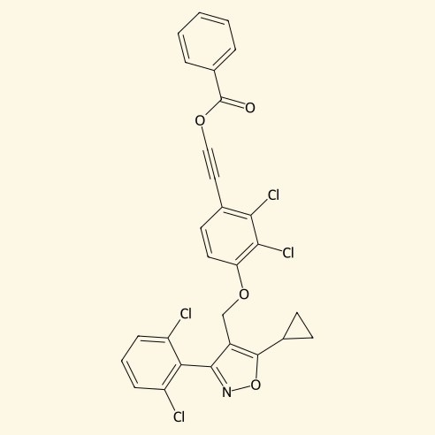 O=C(OC#Cc1ccc(OCc2c(-c3c(Cl)cccc3Cl)noc2C2CC2)c(Cl)c1Cl)c1ccccc1